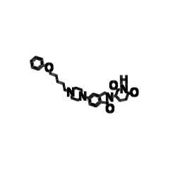 O=C1CCC(N2Cc3cc(N4CCN(CCCCCOc5ccccc5)CC4)ccc3C2=O)C(=O)N1